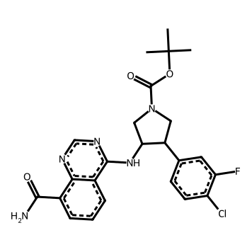 CC(C)(C)OC(=O)N1CC(Nc2ncnc3c(C(N)=O)cccc23)C(c2ccc(Cl)c(F)c2)C1